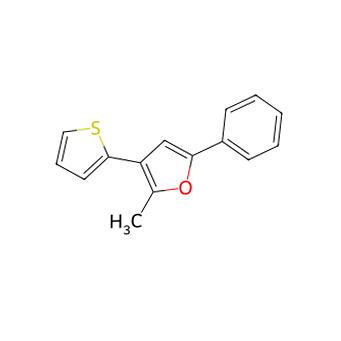 Cc1oc(-c2ccccc2)cc1-c1cccs1